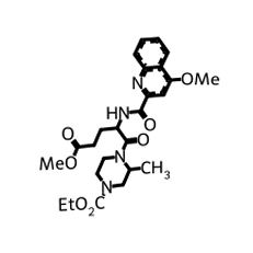 CCOC(=O)N1CCN(C(=O)C(CCC(=O)OC)NC(=O)c2cc(OC)c3ccccc3n2)C(C)C1